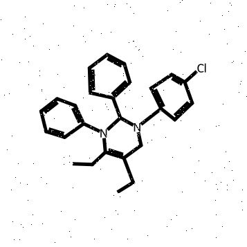 CCC1=C(CC)N(c2ccccc2)C(c2ccccc2)N(c2ccc(Cl)cc2)C1